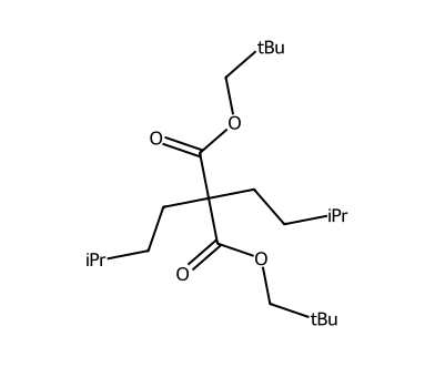 CC(C)CCC(CCC(C)C)(C(=O)OCC(C)(C)C)C(=O)OCC(C)(C)C